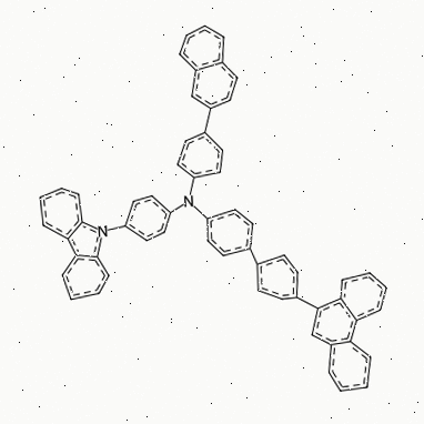 c1ccc2cc(-c3ccc(N(c4ccc(-c5ccc(-c6cc7ccccc7c7ccccc67)cc5)cc4)c4ccc(-n5c6ccccc6c6ccccc65)cc4)cc3)ccc2c1